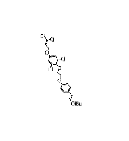 CC(C)CO/N=C/c1ccc(OCCOc2c(Cl)cc(OCC=C(Cl)Cl)cc2Cl)cc1